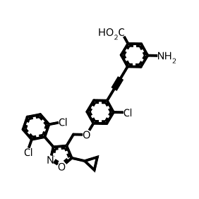 Nc1cc(C#Cc2ccc(OCc3c(-c4c(Cl)cccc4Cl)noc3C3CC3)cc2Cl)cc(C(=O)O)c1